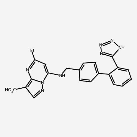 CCc1cc(NCc2ccc(-c3ccccc3-c3nnn[nH]3)cc2)n2ncc(C(=O)O)c2n1